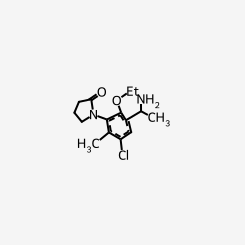 CCOc1c(C(C)N)cc(Cl)c(C)c1N1CCCC1=O